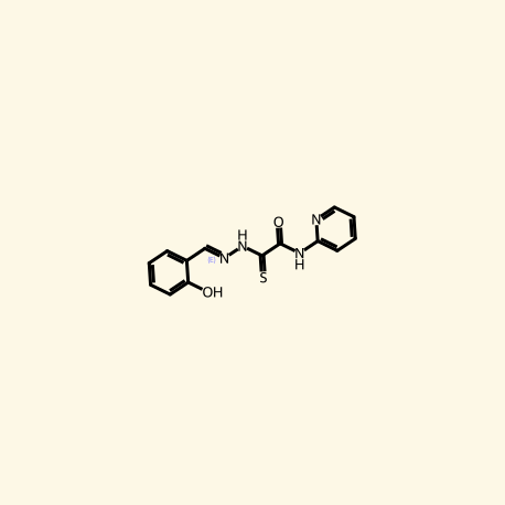 O=C(Nc1ccccn1)C(=S)N/N=C/c1ccccc1O